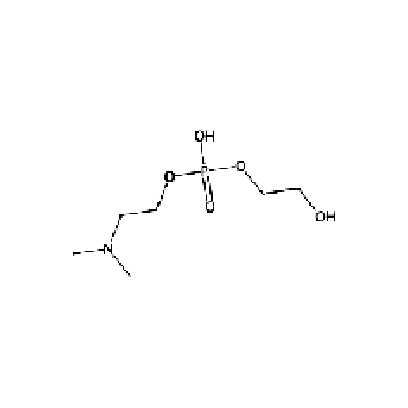 CN(C)CCOP(=O)(O)OCCO